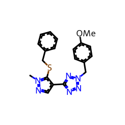 COc1ccc(Cn2nnc(-c3cnn(C)c3SCc3ccccc3)n2)cc1